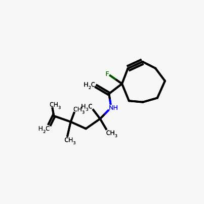 C=C(C)C(C)(C)CC(C)(C)NC(=C)C1(F)C#CCCCCC1